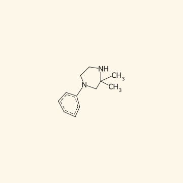 CC1(C)CN(c2ccccc2)CCN1